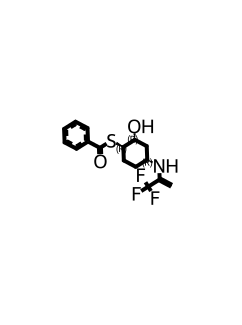 C=C(N[C@@H]1CC[C@@H](SC(=O)c2ccccc2)[C@H](O)C1)C(F)(F)F